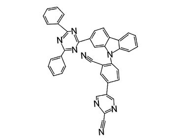 N#Cc1ncc(-c2ccc(-n3c4ccccc4c4ccc(-c5nc(-c6ccccc6)nc(-c6ccccc6)n5)cc43)c(C#N)c2)cn1